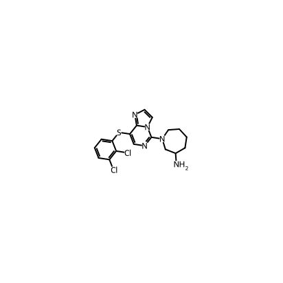 NC1CCCCN(c2ncc(Sc3cccc(Cl)c3Cl)c3nccn23)C1